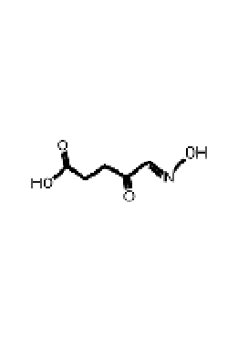 O=C(O)CCC(=O)C=NO